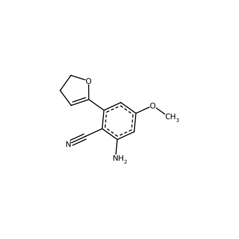 COc1cc(N)c(C#N)c(C2=CCCO2)c1